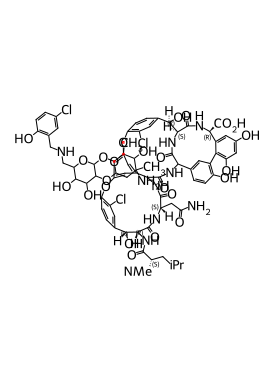 CN[C@@H](CC(C)C)C(=O)N[C@H]1C(=O)N[C@@H](CC(N)=O)C(=O)NC2C(=O)NC3C(=O)N[C@H](C(=O)N[C@@H](C(=O)O)c4cc(O)cc(O)c4-c4cc3ccc4O)[C@H](O)c3ccc(c(Cl)c3)Oc3cc2cc(c3OC2OC(CNCc3cc(Cl)ccc3O)C(O)C(O)C2OC2CC(C)(N)C(O)C(C)O2)Oc2ccc(cc2Cl)[C@H]1O